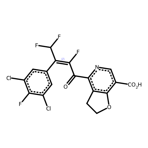 O=C(O)c1cnc(C(=O)/C(F)=C(\c2cc(Cl)c(F)c(Cl)c2)C(F)F)c2c1OCC2